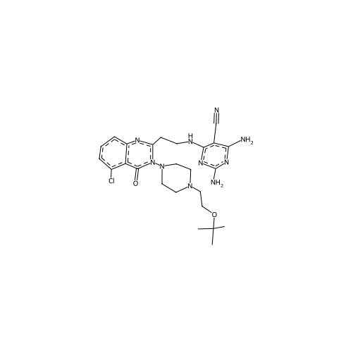 CC(C)(C)OCCN1CCN(n2c(CCNc3nc(N)nc(N)c3C#N)nc3cccc(Cl)c3c2=O)CC1